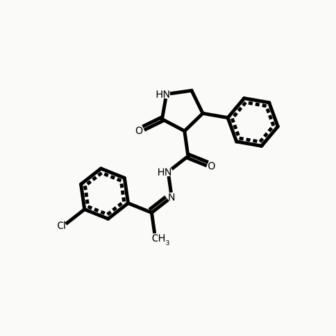 C/C(=N/NC(=O)C1C(=O)NCC1c1ccccc1)c1cccc(Cl)c1